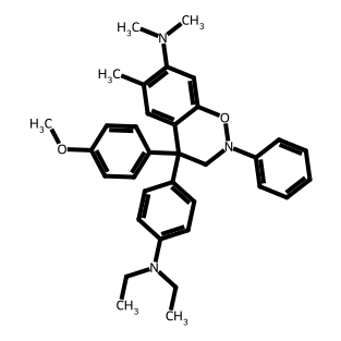 CCN(CC)c1ccc(C2(c3ccc(OC)cc3)CN(c3ccccc3)Oc3cc(N(C)C)c(C)cc32)cc1